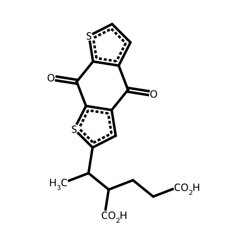 CC(c1cc2c(s1)C(=O)c1sccc1C2=O)C(CCC(=O)O)C(=O)O